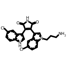 NCCCn1cc(C2=C(c3c[nH]c4ccc(Cl)cc34)C(=O)NC2=O)c2cc(Cl)ccc21